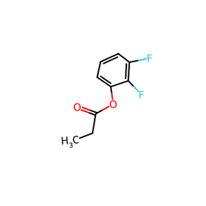 CCC(=O)Oc1cccc(F)c1F